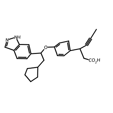 CC#CC(CC(=O)O)c1ccc(OC(CC2CCCC2)c2ccc3cn[nH]c3c2)cc1